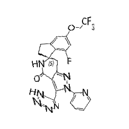 O=C1N[C@@]2(CCc3cc(OCC(F)(F)F)cc(F)c32)Cc2nn(-c3ccccn3)c(-c3nnn[nH]3)c21